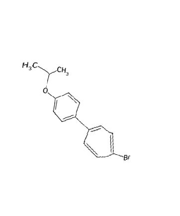 CC(C)Oc1ccc(-c2ccc(Br)cc2)cc1